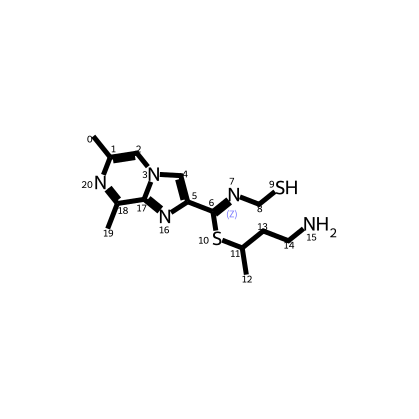 Cc1cn2cc(/C(=N/CS)SC(C)CCN)nc2c(C)n1